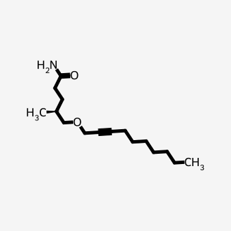 CCCCCCCC#CCOC[C@@H](C)CCC(N)=O